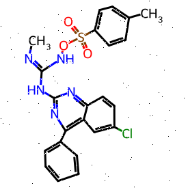 CN=C(NOS(=O)(=O)c1ccc(C)cc1)Nc1nc(-c2ccccc2)c2cc(Cl)ccc2n1